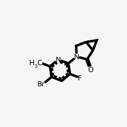 Cc1nc(N2CC3CC3C2=O)c(F)cc1Br